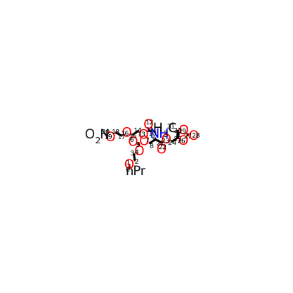 CCCOCCOC(=O)OCC(NC(=O)OCCOCCO[N+](=O)[O-])C(=O)OCc1oc(=O)oc1C